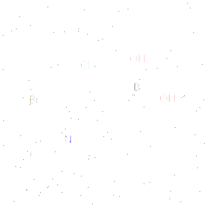 OB(O)c1ccnc(Br)c1Cl